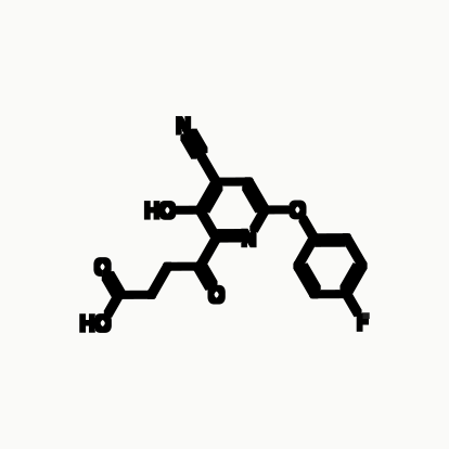 N#Cc1cc(Oc2ccc(F)cc2)nc(C(=O)CCC(=O)O)c1O